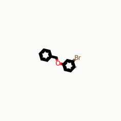 Brc1[c]ccc(OCc2ccccc2)c1